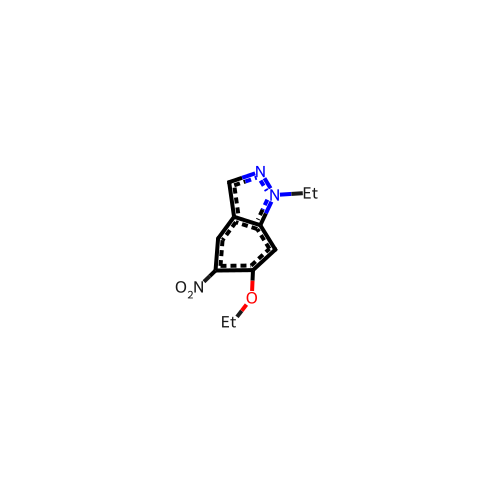 CCOc1cc2c(cnn2CC)cc1[N+](=O)[O-]